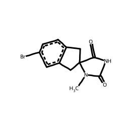 CN1C(=O)NC(=O)C12Cc1ccc(Br)cc1C2